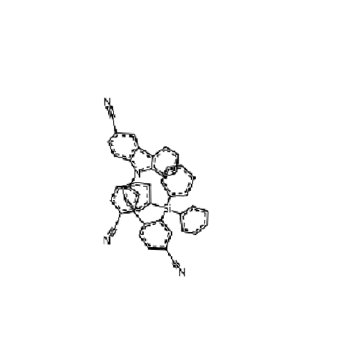 N#Cc1ccc(-c2cc(-n3c4ccccc4c4cc(C#N)ccc43)ccc2C#N)c([Si](c2ccccc2)(c2ccccc2)c2ccccc2)c1